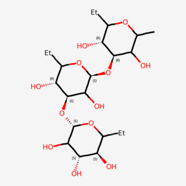 CCC1O[C@@H](O[C@@H]2C(O)[C@H](O[C@@H]3C(O)C(C)OC(CC)[C@H]3O)OC(CC)[C@H]2O)C(O)[C@@H](O)[C@@H]1O